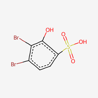 O=S(=O)(O)c1ccc(Br)c(Br)c1O